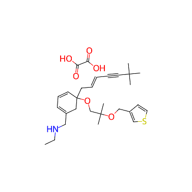 CCNCC1=CC=CC(CC=CC#CC(C)(C)C)(OCC(C)(C)OCc2ccsc2)C1.O=C(O)C(=O)O